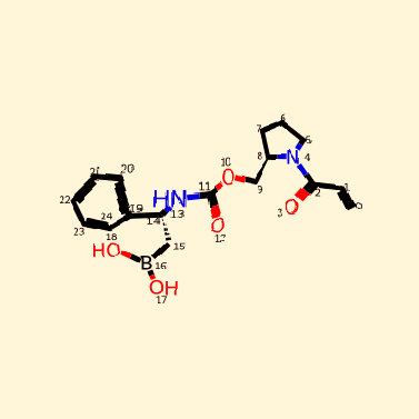 C=CC(=O)N1CCC[C@@H]1COC(=O)N[C@H](CB(O)O)c1ccccc1